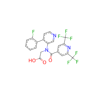 O=C(O)CN(C(=O)c1cc(C(F)(F)F)nc(C(F)(F)F)c1)c1cnccc1-c1ccccc1F